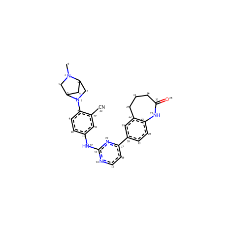 CN1CC2CC1CN2c1ccc(Nc2nccc(-c3ccc4c(c3)CCCC(=O)N4)n2)cc1C#N